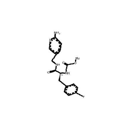 CC(C)(C)OC(=O)N[C@@H](Cc1ccc(F)cc1)C(=O)NCc1ccc(N)nc1